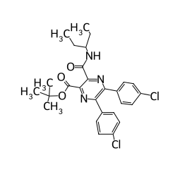 CCC(CC)NC(=O)c1nc(-c2ccc(Cl)cc2)c(-c2ccc(Cl)cc2)nc1C(=O)OC(C)(C)C